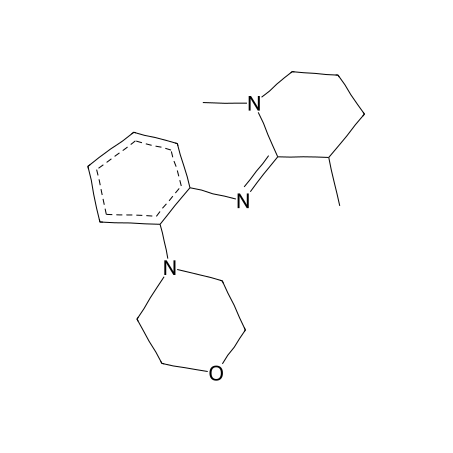 CC1CCCN(C)C1=Nc1ccccc1N1CCOCC1